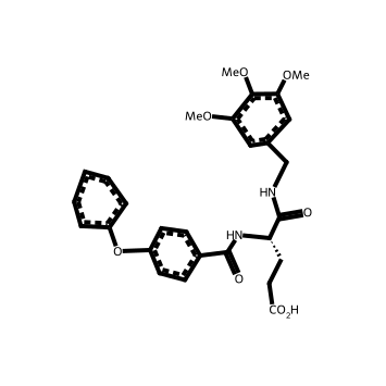 COc1cc(CNC(=O)[C@H](CCC(=O)O)NC(=O)c2ccc(Oc3ccccc3)cc2)cc(OC)c1OC